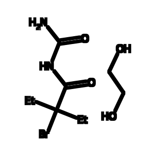 CCC(Br)(CC)C(=O)NC(N)=O.OCCO